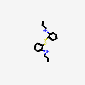 C=CCNc1ccccc1SSc1ccccc1NCC=C